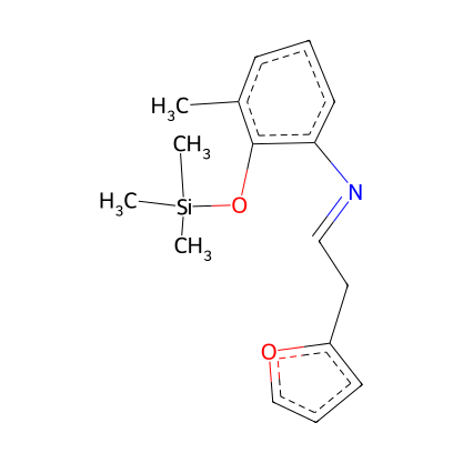 Cc1cccc(N=CCc2ccco2)c1O[Si](C)(C)C